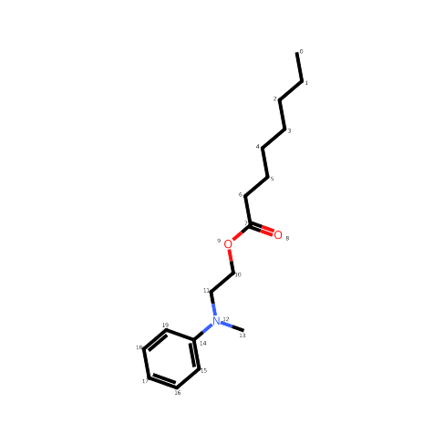 CCCCCCCC(=O)OCCN(C)c1ccccc1